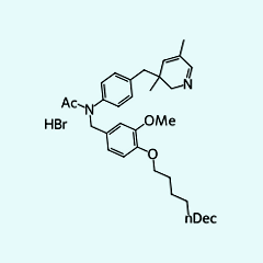 Br.CCCCCCCCCCCCCCOc1ccc(CN(C(C)=O)c2ccc(CC3(C)C=C(C)C=NC3)cc2)cc1OC